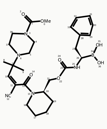 COC(=O)N1CCN(C(C)(C)C=C(C#N)C(=O)N2CCCC[C@@H]2COC(=O)N[C@@H](Cc2ccccc2)B(O)O)CC1